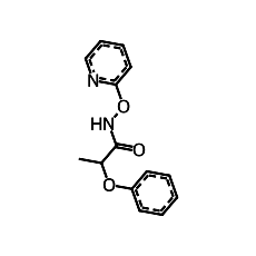 CC(Oc1ccccc1)C(=O)NOc1ccccn1